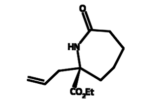 C=CC[C@@]1(C(=O)OCC)CCCCC(=O)N1